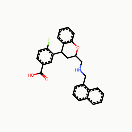 O=C(O)c1ccc(F)c(C2CC(CNCc3cccc4ccccc34)Oc3ccccc32)c1